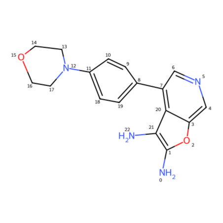 Nc1oc2cncc(-c3ccc(N4CCOCC4)cc3)c2c1N